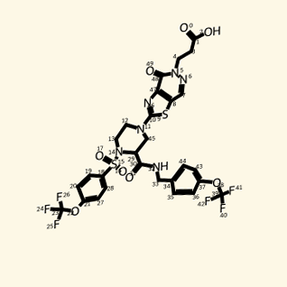 O=C(O)CCn1ncc2sc(N3CCN(S(=O)(=O)c4ccc(OC(F)(F)F)cc4)C(C(=O)NCc4ccc(OC(F)(F)F)cc4)C3)nc2c1=O